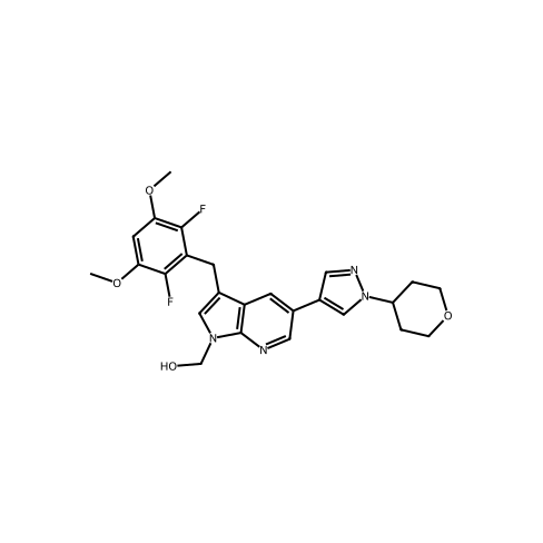 COc1cc(OC)c(F)c(Cc2cn(CO)c3ncc(-c4cnn(C5CCOCC5)c4)cc23)c1F